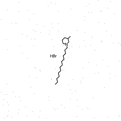 Br.CCCCCCCCCCCCCCN1CCCC(C)C1